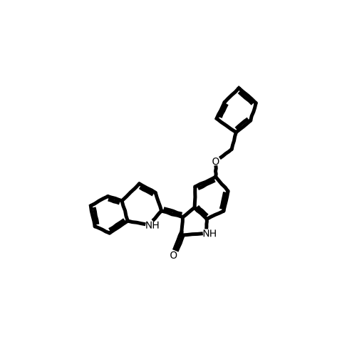 O=C1Nc2ccc(OCc3ccccc3)cc2C1=C1C=Cc2ccccc2N1